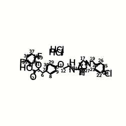 Cl.Cl.O=C(O)[C@H](Cc1ccc(OCCN[C@H]2C3CN(Cc4ccc(Cl)cc4)C[C@@H]32)cc1)Oc1cc(F)ccc1F